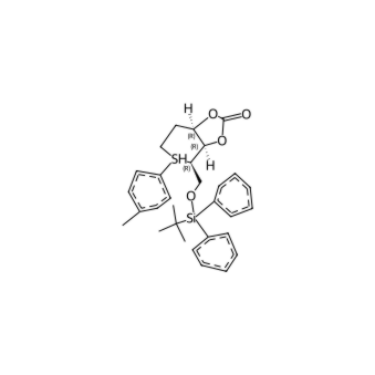 Cc1ccc([SH]2CC[C@H]3OC(=O)O[C@H]3[C@H]2CO[Si](c2ccccc2)(c2ccccc2)C(C)(C)C)cc1